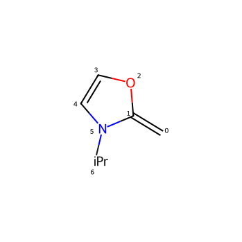 C=C1OC=CN1C(C)C